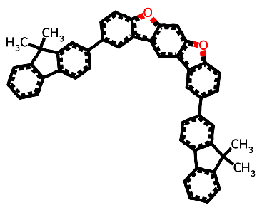 CC1(C)c2ccccc2-c2ccc(-c3ccc4oc5cc6oc7ccc(-c8ccc9c(c8)C(C)(C)c8ccccc8-9)cc7c6cc5c4c3)cc21